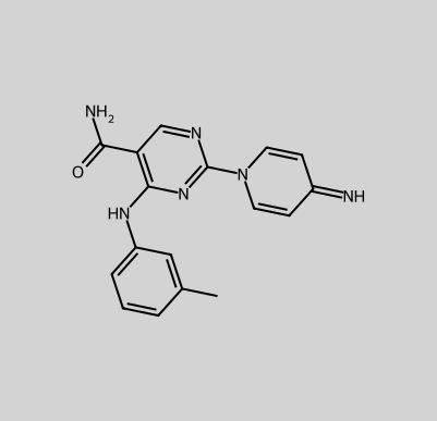 Cc1cccc(Nc2nc(-n3ccc(=N)cc3)ncc2C(N)=O)c1